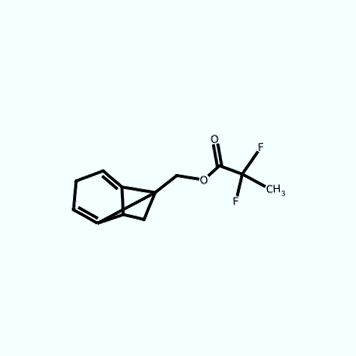 CC(F)(F)C(=O)OCC12CC3C1=CCC=C32